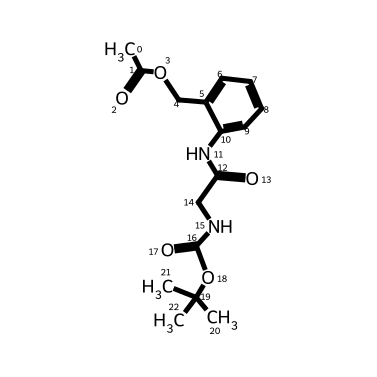 CC(=O)OCc1ccccc1NC(=O)CNC(=O)OC(C)(C)C